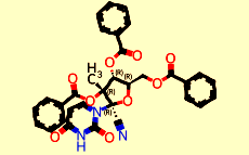 C[C@@]1(OC(=O)c2ccccc2)[C@H](OC(=O)c2ccccc2)[C@@H](COC(=O)c2ccccc2)O[C@@]1(C#N)n1ccc(=O)[nH]c1=O